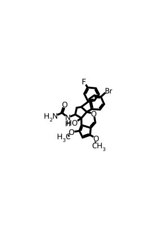 COC1=CC(OC)=C2C1=COC1(c3ccc(Br)cc3)C(c3cccc(F)c3)CC(NC(N)=O)C21O